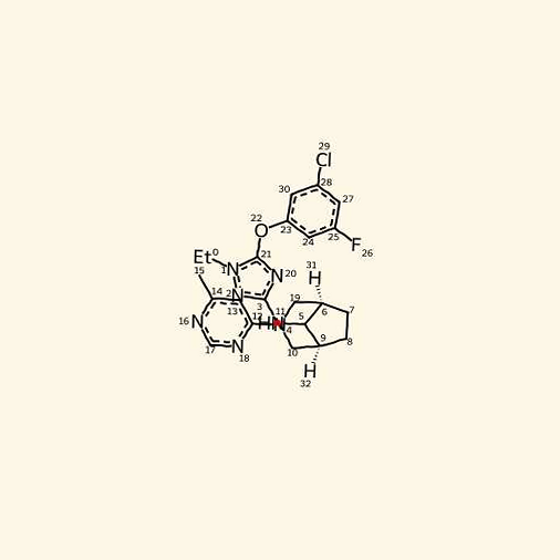 CCn1nc(NC2[C@@H]3CC[C@H]2CN(c2cc(C)ncn2)C3)nc1Oc1cc(F)cc(Cl)c1